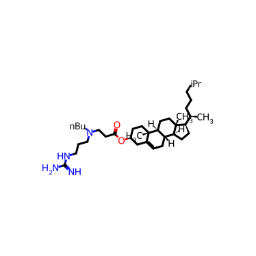 CCCCN(CCCNC(=N)N)CCC(=O)O[C@H]1CC[C@@]2(C)C(=CC[C@H]3[C@@H]4CC[C@H]([C@H](C)CCCC(C)C)[C@@]4(C)CC[C@@H]32)C1